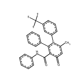 Cc1cc(=O)c(C(=O)Nc2ccccc2)c(-c2ccccc2)n1-c1cccc(C(F)(F)F)c1